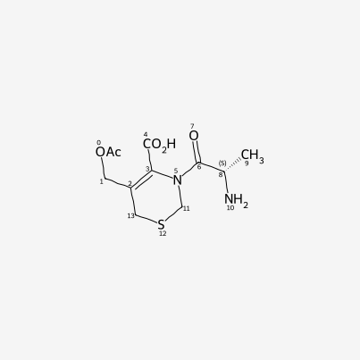 CC(=O)OCC1=C(C(=O)O)N(C(=O)[C@H](C)N)CSC1